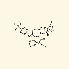 C[C@H](C(=O)N1C[C@@H](Oc2ccc(C(F)(F)F)cc2)CCC2=CC3=C[C@@](F)(C=C21)C3(O)C(F)(F)F)c1ccccc1